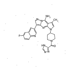 Cc1cn(C2CCN(C(=O)c3nnc[nH]3)CC2)c2nc3c(-c4cnc5ccc(F)cc5c4)cnn3c(N)c12